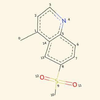 Cc1ccnc2ccc(S(C)(=O)=O)cc12